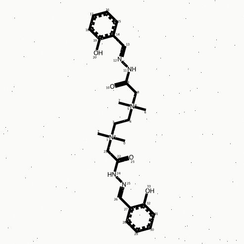 C[N+](C)(CC[N+](C)(C)CC(=O)N/N=C/c1ccccc1O)CC(=O)N/N=C/c1ccccc1O